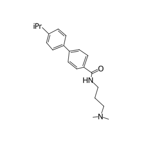 CC(C)c1ccc(-c2ccc(C(=O)NCCCN(C)C)cc2)cc1